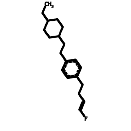 CCC1CCC(CCc2ccc(CC/C=C/F)cc2)CC1